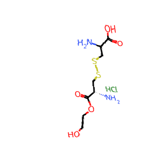 Cl.NC(CSSC[C@H](N)C(=O)OCCO)C(=O)O